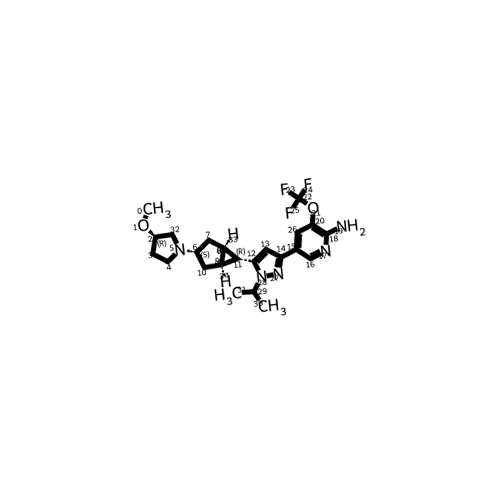 CO[C@@H]1CCN([C@@H]2C[C@@H]3[C@H](C2)[C@H]3c2cc(-c3cnc(N)c(OC(F)(F)F)c3)nn2C(C)C)C1